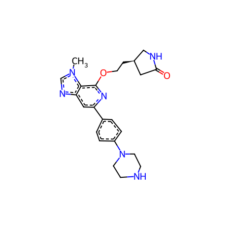 Cn1cnc2cc(-c3ccc(N4CCNCC4)cc3)nc(OCC[C@H]3CNC(=O)C3)c21